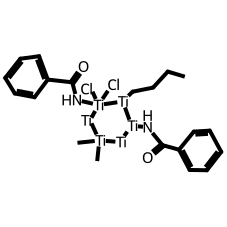 CCC[CH2][Ti]1[Ti]([NH]C(=O)c2ccccc2)[Ti][Ti]([CH3])([CH3])[Ti][Ti]1([Cl])([Cl])[NH]C(=O)c1ccccc1